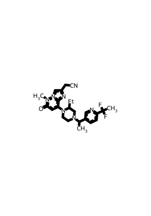 CCC1CN(C(C)c2ccc(C(C)(F)F)nc2)CCN1c1cc(=O)n(C)n2cc(CC#N)nc12